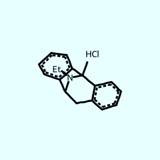 CCN1C2Cc3ccccc3C1(C)c1ccccc12.Cl